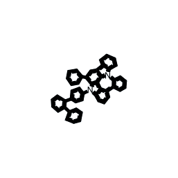 c1ccc(-c2ccccc2-c2ccc(-n3c4cccc5c6ccccc6n6c7ccccc7c7cc(-c8ccccc8)c3c(c54)c76)cc2)cc1